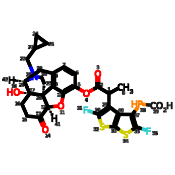 CC(C(=O)Oc1ccc2c3c1O[C@H]1C(=O)CC[C@@]4(O)[C@@H](C2)N(CC2CC2)CC[C@]314)c1c(F)sc2sc(F)c(PC(=O)O)c12